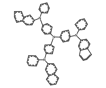 C1=C=Cc2cc(N(c3ccccc3)c3ccc(N(c4ccc(N(c5ccccc5)c5ccc6ccccc6c5)cc4)c4ccc(N(c5ccccc5)c5ccc6ccccc6c5)cc4)cc3)ccc2C=1